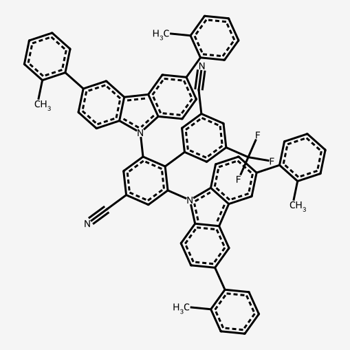 Cc1ccccc1-c1ccc2c(c1)c1cc(-c3ccccc3C)ccc1n2-c1cc(C#N)cc(-n2c3ccc(-c4ccccc4C)cc3c3cc(-c4ccccc4C)ccc32)c1-c1cc(C#N)cc(C(F)(F)F)c1